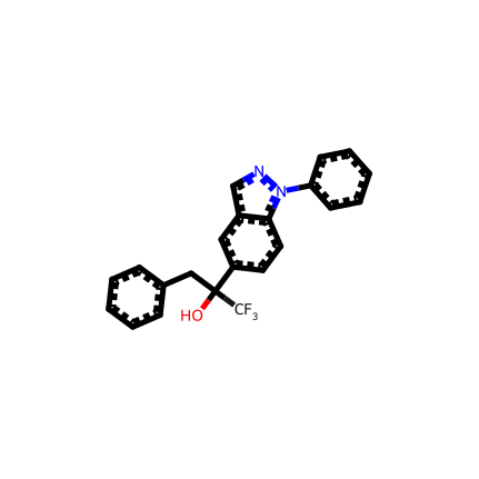 OC(Cc1ccccc1)(c1ccc2c(cnn2-c2ccccc2)c1)C(F)(F)F